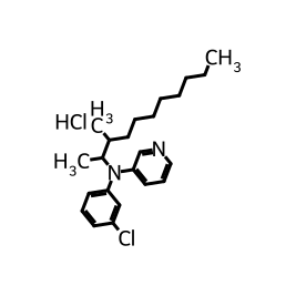 CCCCCCCCC(C)C(C)N(c1cccnc1)c1cccc(Cl)c1.Cl